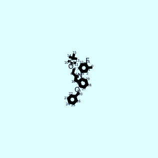 Cc1cc(-n2c(CCO[Si](C)(C)C(C)(C)C)cc3c(OCc4ccccc4)cccc32)ccc1F